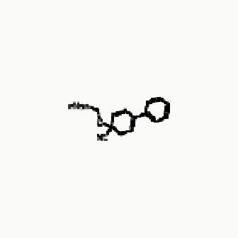 CCCCCCCCCCOC1(C#N)C=CC(c2ccccc2)=CC1